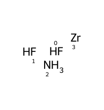 F.F.N.[Zr]